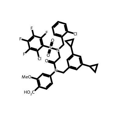 COc1cc(N(Cc2cc(C3CC3)cc(C3CC3)c2)C(=O)CN(Cc2ccccc2Cl)S(=O)(=O)c2c(F)c(F)c(F)c(F)c2Cl)ccc1C(=O)O